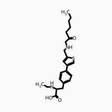 CCCCCC(=O)CNCc1cc(-c2ccc(CC(NCC)C(=O)O)cc2)cs1